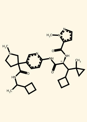 CC(NC(=O)C1(c2ccc(NC(=O)[C@@H](NC(=O)c3ccnn3C)C(C3CCC3)C3(C)CC3)nc2)CCN(C)C1)C1CCC1